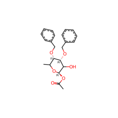 CC(=O)O[C@H]1OC(C)[C@H](OCc2ccccc2)[C@H](OCc2ccccc2)C1O